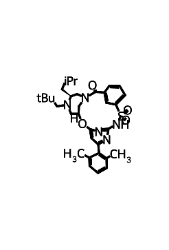 Cc1cccc(C)c1-c1cc2nc(n1)NS(=O)(=O)c1cccc(c1)C(=O)N1C[C@@H](CN(CC(C)(C)C)[C@@H](CC(C)C)C1)O2